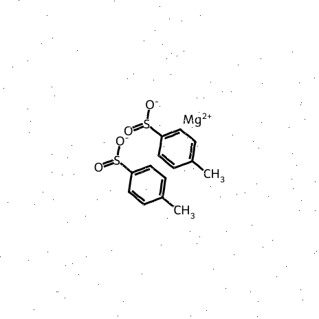 Cc1ccc(S(=O)[O-])cc1.Cc1ccc(S(=O)[O-])cc1.[Mg+2]